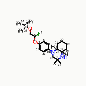 CC(C)[Si](OCC(F)Oc1ccc(N2CC(C)(C)N[C@H]3CCCC[C@@H]32)cc1)(C(C)C)C(C)C